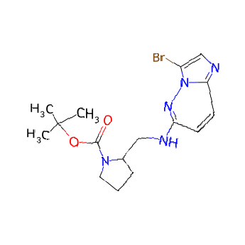 CC(C)(C)OC(=O)N1CCCC1CNc1ccc2ncc(Br)n2n1